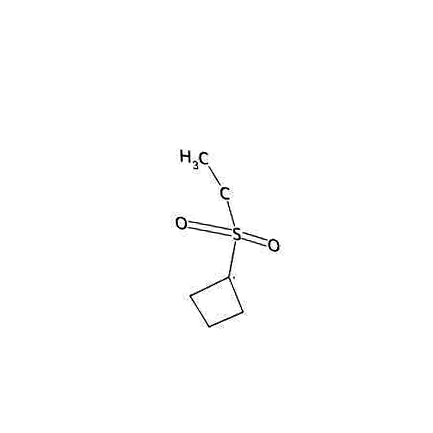 CCS(=O)(=O)[C]1CCC1